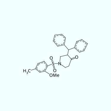 COc1cc(C)ccc1S(=O)(=O)N1CCC(=O)C(C(c2ccccc2)c2ccccc2)C1